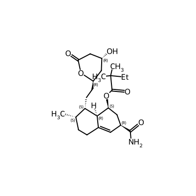 CCC(C)(C)C(=O)O[C@H]1C[C@@H](C(N)=O)C=C2CC[C@H](C)[C@H](CC[C@@H]3C[C@@H](O)CC(=O)O3)[C@H]21